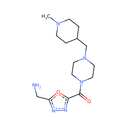 CN1CCC(CN2CCN(C(=O)c3nnc(CN)o3)CC2)CC1